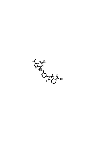 CSc1nc(NCc2cccc(NC(=O)C3CCCN(C(=O)O)C3C(C)(C)C)c2)n2ncc(C(C)C)c2n1